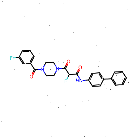 O=C(Nc1ccc(-c2ccccc2)cc1)C(F)C(=O)N1CCN(C(=O)c2cccc(F)c2)CC1